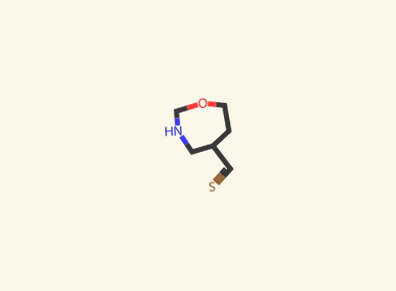 S=CC1CCOCNC1